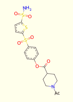 CC(=O)N1CCC(C(=O)Oc2ccc(S(=O)(=O)c3ccc(S(N)(=O)=O)s3)cc2)CC1